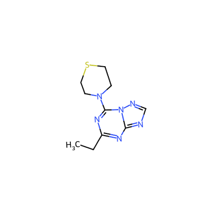 CCc1nc(N2CCSCC2)n2ncnc2n1